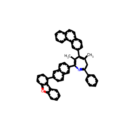 CC1=C(c2ccc3ccc4ccccc4c3c2)C(C)=C(c2ccc3cc(-c4cccc5oc6ccccc6c45)ccc3c2)N=C(c2ccccc2)C1